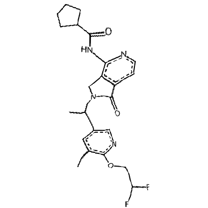 Cc1cc(C(C)N2Cc3c(ccnc3NC(=O)C3CCCC3)C2=O)cnc1OCC(F)F